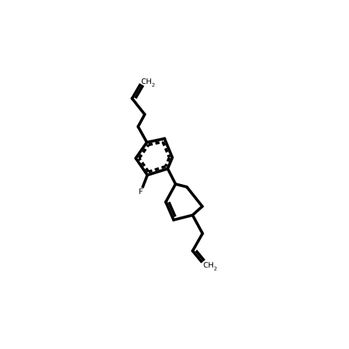 C=CCCc1ccc(C2C=CC(CC=C)CC2)c(F)c1